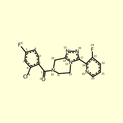 O=C(c1ccc(F)cc1Cl)N1CCn2c(nnc2-c2ncccc2F)C1